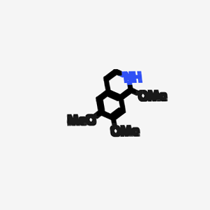 COc1cc2c(cc1OC)C(OC)NCC2